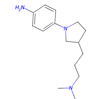 CN(C)CCCC1CCN(c2ccc(N)cc2)C1